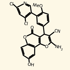 COc1ccc(C2C(C#N)=C(N)Oc3c2c(=O)oc2ccc(O)cc32)cc1-c1cnc(Cl)cc1Cl